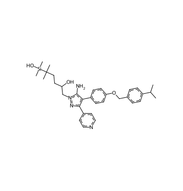 CC(C)c1ccc(COc2ccc(-c3c(-c4ccncc4)nn(CC(O)CCC(C)(C)[Si](C)(C)O)c3N)cc2)cc1